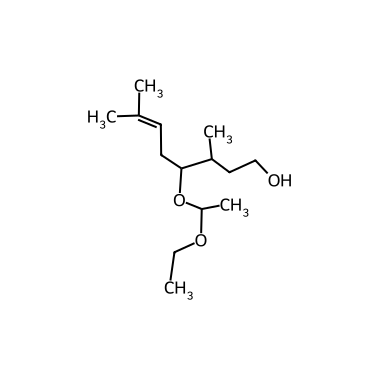 CCOC(C)OC(CC=C(C)C)C(C)CCO